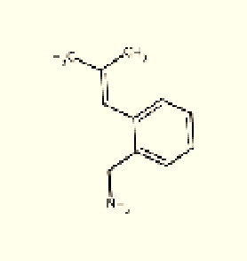 CC(C)=Cc1ccccc1CN